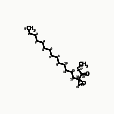 CCCCCCCCCCCCCCC1(C(=O)SC)CO1